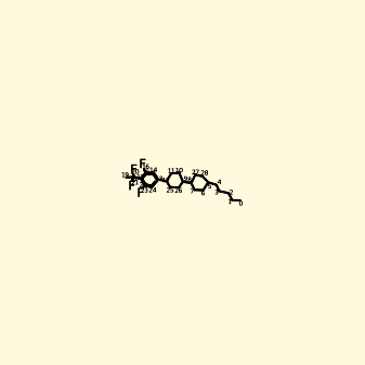 CCCCCC1CCC(C2CCC(c3cc(F)c(C(C)(F)F)c(F)c3)CC2)CC1